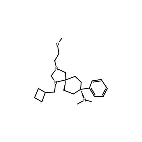 COCCN1CN(CC2CCC2)[C@]2(CC[C@](c3ccccc3)(N(C)C)CC2)C1